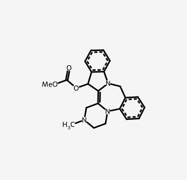 COC(=O)OC1C2=C3CN(C)CCN3c3ccccc3CN2c2ccccc21